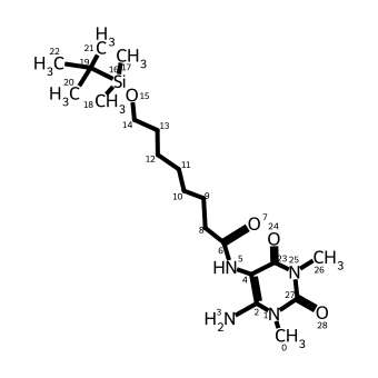 Cn1c(N)c(NC(=O)CCCCCCCO[Si](C)(C)C(C)(C)C)c(=O)n(C)c1=O